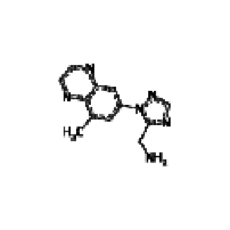 Cc1cc(-n2ncnc2CN)cc2nccnc12